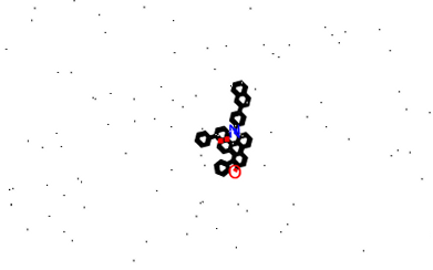 c1ccc(-c2ccc(N(c3ccc(-c4ccc5ccccc5c4)cc3)c3cccc4c5ccc6oc7ccccc7c6c5c5ccccc5c34)cc2)cc1